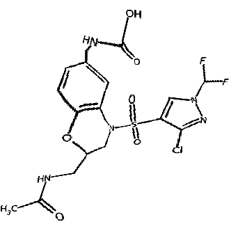 CC(=O)NCC1CN(S(=O)(=O)c2cn(C(F)F)nc2Cl)c2cc(NC(=O)O)ccc2O1